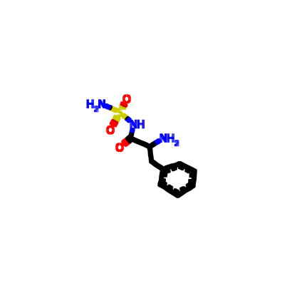 NC(Cc1ccccc1)C(=O)NS(N)(=O)=O